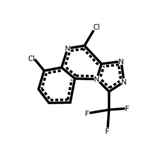 FC(F)(F)c1nnc2c(Cl)nc3c(Cl)cccc3n12